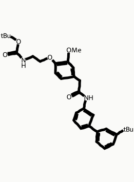 COc1cc(CC(=O)Nc2cccc(-c3cccc(C(C)(C)C)c3)c2)ccc1OCCNC(=O)OC(C)(C)C